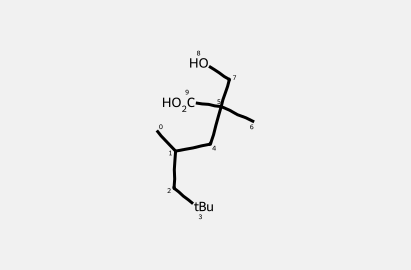 CC(CC(C)(C)C)CC(C)(CO)C(=O)O